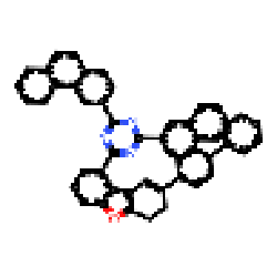 C1=C(c2ccc(-c3ccccc3)cc2)CCc2oc3cccc(-c4nc(-c5ccc6ccccc6c5)nc(-c5ccc6ccc7ccccc7c6c5)n4)c3c21